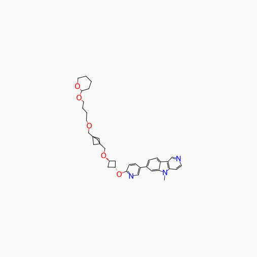 Cn1c2ccncc2c2ccc(-c3ccc(O[C@H]4C[C@H](OCC56CC(COCCCCOC7CCCCO7)(C5)C6)C4)nc3)cc21